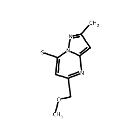 COCc1cc([S])n2nc(C)cc2n1